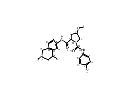 COC1CC(C(=O)Nc2ccc3c(c2)C(C)CN(C)C3)N(C(=O)Nc2ccc(Br)cc2)C1